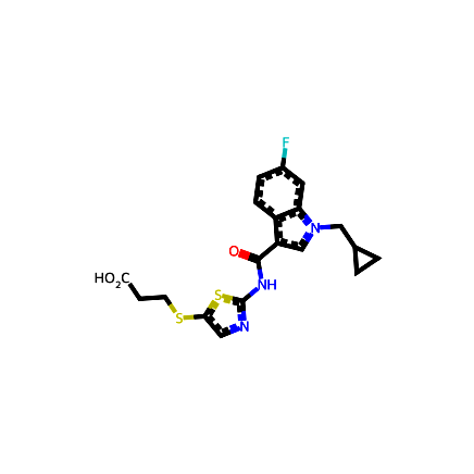 O=C(O)CCSc1cnc(NC(=O)c2cn(CC3CC3)c3cc(F)ccc23)s1